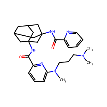 CN(C)CCCN(C)c1cccc(C(=O)NC23CC4CC(CC(NC(=O)c5ccccn5)(C4)C2)C3)n1